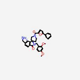 COc1ccc(CN2C(=O)c3ccc(CN)cc3C23CCN(C(=O)c2ccc(-c4ccccc4)o2)CC3)c(OC)c1